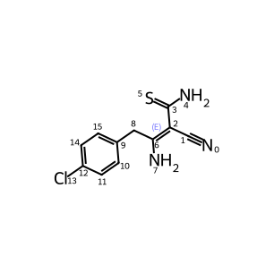 N#C/C(C(N)=S)=C(\N)Cc1ccc(Cl)cc1